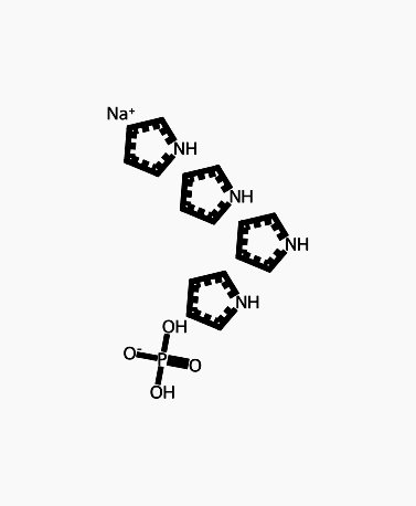 O=P([O-])(O)O.[Na+].c1cc[nH]c1.c1cc[nH]c1.c1cc[nH]c1.c1cc[nH]c1